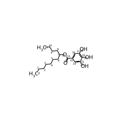 CCCCCCCC(CCCC)OC(=O)c1cc(O)c(O)c(O)c1